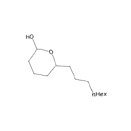 CCCCCCCCCC1CCCC(O)O1